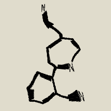 N#Cc1ccnc(-c2ccccc2C#N)c1